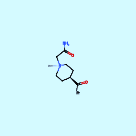 CC(C)C(=O)[C@H]1CC[N@@+](C)(CC(N)=O)CC1